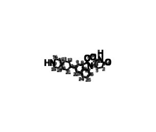 O=C1CC[C@H](N2C(=O)c3cc(C4CCC5(CCNCC5)CC4)cc4cccc2c34)C(=O)N1